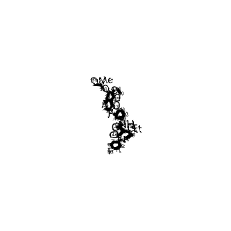 CCOc1ccn(C2=CCC(F)C=C2)c(=O)c1C(=O)Nc1ccc(Oc2ccnc3cc(OCCCOC)c4c(c23)OCCO4)c(F)c1